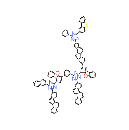 c1ccc(-c2nc(-c3ccc4c(ccc5c6ccc(-c7cc(-c8nc(-c9cccc(-c%10ccc(-c%11nc(-c%12ccc%13ccccc%13c%12)nc(-c%12ccc%13c(ccc%14c%15ccccc%15ccc%13%14)c%12)n%11)c%11c%10oc%10ccccc%10%11)c9)nc(-c9ccc%10c(ccc%11c%12ccccc%12ccc%10%11)c9)n8)c8oc9ccccc9c8c7)cc6ccc45)c3)nc(-c3ccc4sc5ccccc5c4c3)n2)cc1